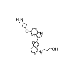 CN(CCCO)c1nccc2oc(-c3cnc4ccc(OC5CC(N)C5)nn34)cc12